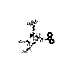 CCCCCCCCCCCC(=O)OC[C@@H](CSC[C@H](NC(=O)OCC1c2ccccc2-c2ccccc21)C(=O)NC1(COCCCP(=O)(OCC)OCC)CC1)OC(=O)CCCCCCCCCCC